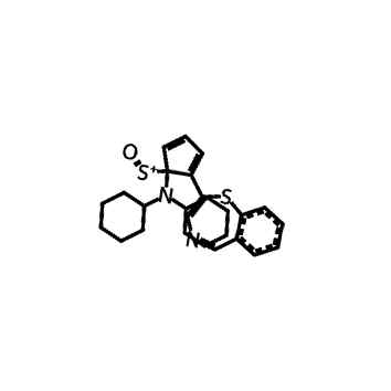 O=[S+]C1(N(C2CCCCC2)C2CCCCC2)C=CC=C1C1=CN=Cc2ccccc2S1